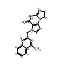 Cc1nc(Cn2cnc3c2C(=O)NC2=NCCN23)nc2ccccc12